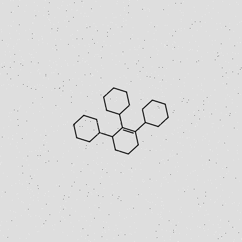 C1CCC(C2=C(C3CCCCC3)C(C3CCCCC3)CCC2)CC1